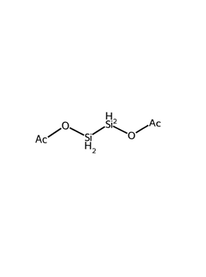 CC(=O)O[SiH2][SiH2]OC(C)=O